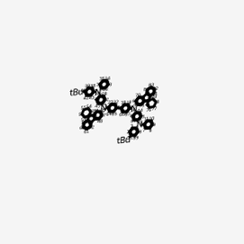 CC(C)(C)c1ccc(N(c2ccccc2)c2ccc(N(c3ccc(-c4ccc(N(c5ccc(N(c6ccccc6)c6ccc(C(C)(C)C)cc6)cc5)c5ccc6c(c5)C5(CCCCC5)c5ccccc5-6)cc4)cc3)c3ccc4c(c3)C3(CCCCC3)c3ccccc3-4)cc2)cc1